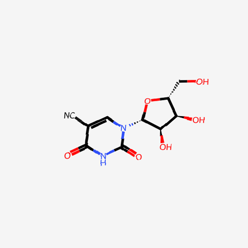 N#Cc1cn([C@@H]2O[C@H](CO)[C@@H](O)[C@H]2O)c(=O)[nH]c1=O